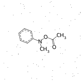 CC(=O)ON(C)c1ccccc1